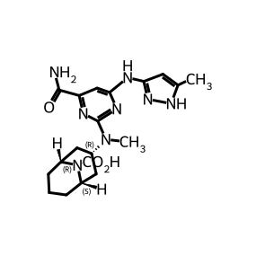 Cc1cc(Nc2cc(C(N)=O)nc(N(C)[C@H]3C[C@H]4CCC[C@@H](C3)N4C(=O)O)n2)n[nH]1